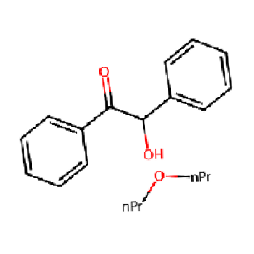 CCCOCCC.O=C(c1ccccc1)C(O)c1ccccc1